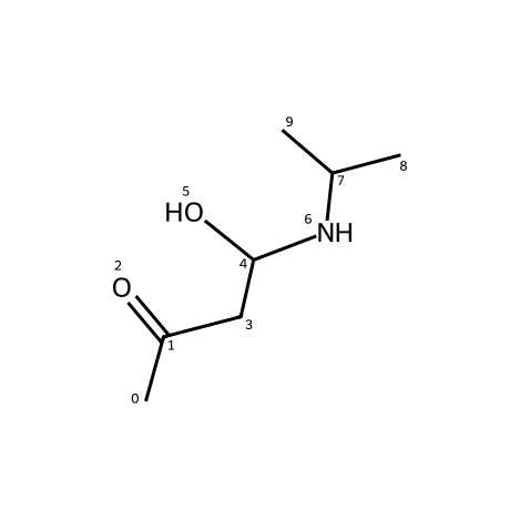 CC(=O)CC(O)NC(C)C